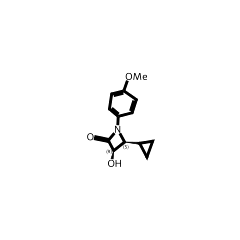 COc1ccc(N2C(=O)[C@H](O)[C@@H]2C2CC2)cc1